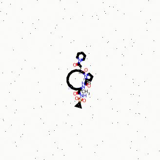 C[C@@]1(C(=O)NS(=O)(=O)C2CC2)C/C=C\CCCCC[C@H](CC(=O)N2CCCCC2)C(=O)N2CCC[C@H]2C(=O)N1